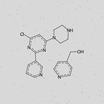 Clc1cc(N2CCNCC2)nc(-c2cccnc2)n1.OCc1ccncc1